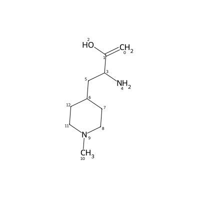 C=C(O)C(N)CC1CCN(C)CC1